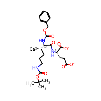 CC(C)(C)OC(=O)NCCCC[C@H](NC(=O)OCc1ccccc1)C(=O)N[C@@H](CCC(=O)[O-])C(=O)[O-].[Ca+2]